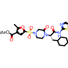 COC(=O)c1cc(S(=O)(=O)N2CCN([C@@H](CC3CCCCC3)C(=O)Nc3nccs3)C(=O)C2)oc1C